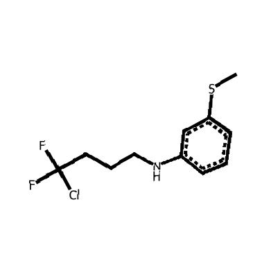 CSc1cccc(NCCCC(F)(F)Cl)c1